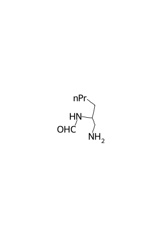 CCCCC(CN)NC=O